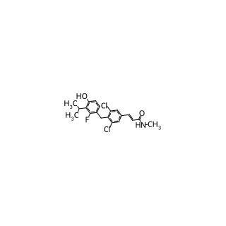 CNC(=O)/C=C/c1cc(Cl)c(Cc2ccc(O)c(C(C)C)c2F)c(Cl)c1